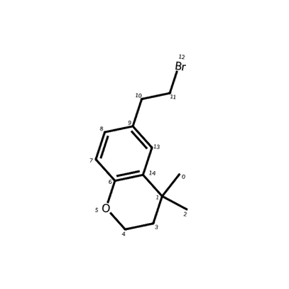 CC1(C)CCOc2ccc(CCBr)cc21